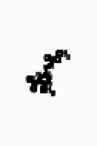 COC(=O)C=Cc1ccc(N)c([N+](=O)[O-])c1